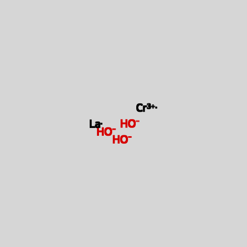 [Cr+3].[La].[OH-].[OH-].[OH-]